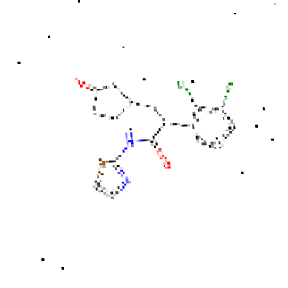 O=C1CCC(CC(C(=O)Nc2nccs2)c2cccc(Cl)c2Cl)C1